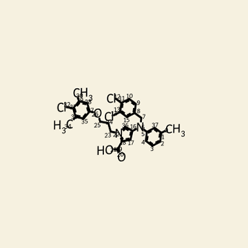 Cc1cccc(N(Cc2ccc(Cl)c(Cl)c2)c2cc(C(=O)O)n(CCCOc3cc(C)c(Cl)c(C)c3)c2)c1